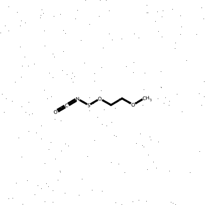 COCCOSN=C=O